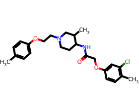 Cc1ccc(OCCN2CCC(NC(=O)COc3ccc(C)c(Cl)c3)C(C)C2)cc1